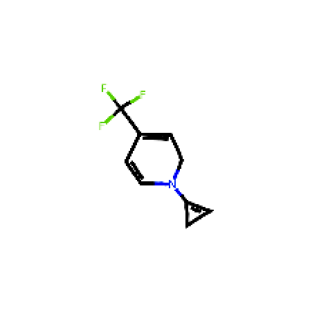 FC(F)(F)C1=CCN(C2=CC2)C=C1